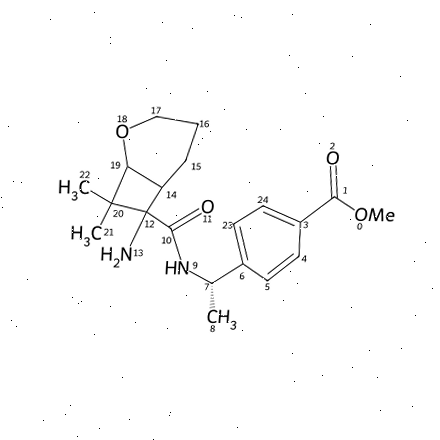 COC(=O)c1ccc([C@H](C)NC(=O)C2(N)C3CCCOC3C2(C)C)cc1